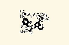 COC(=O)[C@H](Cc1ccc(C2OC(C)(C)C(C)(C)O2)c2c1CCCO2)NC(=O)c1c(F)cc(N[C@H](C)C(F)(F)F)cc1F